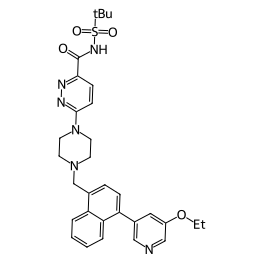 CCOc1cncc(-c2ccc(CN3CCN(c4ccc(C(=O)NS(=O)(=O)C(C)(C)C)nn4)CC3)c3ccccc23)c1